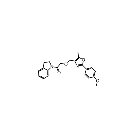 COc1ccc(-c2nc(COCC(=O)N3CCc4ccccc43)c(C)o2)cc1